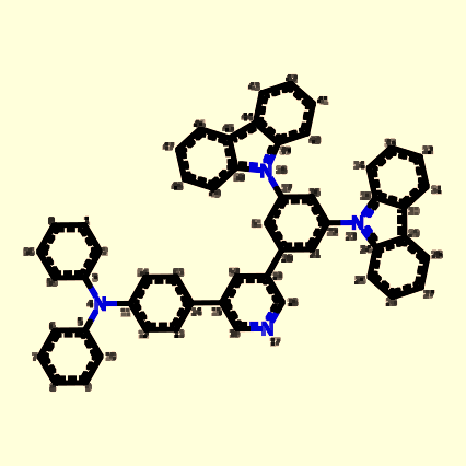 c1ccc(N(c2ccccc2)c2ccc(-c3cncc(-c4cc(-n5c6ccccc6c6ccccc65)cc(-n5c6ccccc6c6ccccc65)c4)c3)cc2)cc1